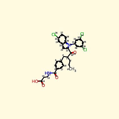 CCCC(Cc1ccc(C(=O)NCCC(=O)O)cc1)C(=O)c1cc2cc(Cl)ccc2n1-c1cc(Cl)cc(Cl)c1